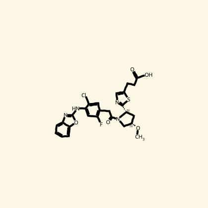 CO[C@H]1C[C@@H](c2ncc(CCC(=O)O)s2)N(C(=O)Cc2cc(Cl)c(Nc3nc4ccccc4o3)cc2F)C1